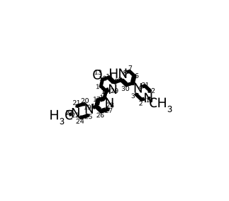 CN1CCN(C2=CCNC(C3=CC(=O)CC(c4cc(N5CCN(C)CC5)ccn4)=N3)=C2)CC1